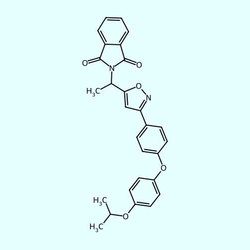 CC(C)Oc1ccc(Oc2ccc(-c3cc(C(C)N4C(=O)c5ccccc5C4=O)on3)cc2)cc1